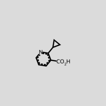 O=C(O)c1cccnc1C1CC1